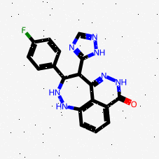 O=c1[nH]nc2c3c(cccc13)NNC(c1ccc(F)cc1)C2c1ncn[nH]1